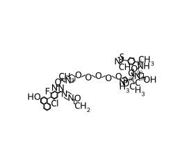 C=CC(=O)N1CCN(c2nc(O[C@H](C)CN3CCC(OCCOCCOCCOCCOc4cc([C@@H](C(=O)N5C[C@H](O)C[C@H]5C(=O)N[C@@H](C)c5ccc(-c6scnc6C)cc5)C(C)C)on4)CC3)nc3c(F)c(-c4cc(O)cc5ccccc45)c(Cl)cc23)CC1